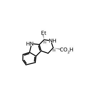 CC[C@@H]1N[C@H](C(=O)O)Cc2c1[nH]c1ccccc21